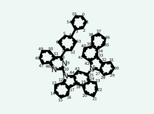 c1ccc(-c2ccc(-c3nc(-n4c5ccccc5c5c6ccccc6c(-n6c7ccccc7c7c8ccccc8ccc76)cc54)nc4ccccc34)cc2)cc1